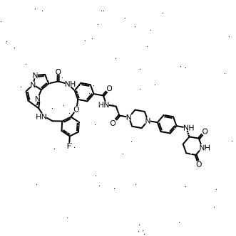 O=C1CCC(Nc2ccc(N3CCN(C(=O)CNC(=O)c4ccc5c(c4)Oc4ccc(F)cc4CNc4ccn6ncc(c6n4)C(=O)N5)CC3)cc2)C(=O)N1